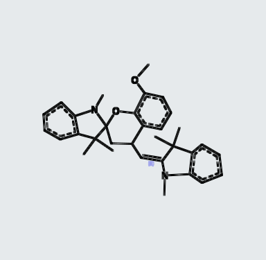 COc1cccc2c1OC1(CC2/C=C2/N(C)c3ccccc3C2(C)C)N(C)c2ccccc2C1(C)C